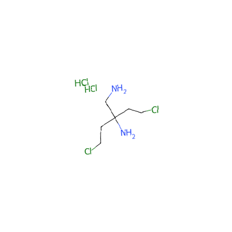 Cl.Cl.NCC(N)(CCCl)CCCl